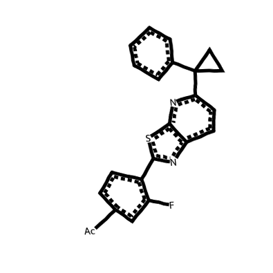 CC(=O)c1ccc(-c2nc3ccc(C4(c5ccccc5)CC4)nc3s2)c(F)c1